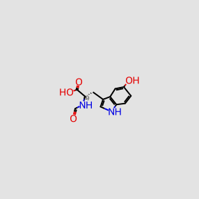 O=CN[C@@H](Cc1c[nH]c2ccc(O)cc12)C(=O)O